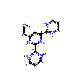 C=Cc1cc(-c2ncccn2)nc(-c2ncccn2)n1